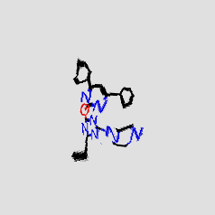 CCc1nc(Oc2nc(-c3ccccc3)cc(-c3ccccc3)n2)nc(N2CCN(C)CC2)n1